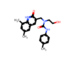 Cc1ccc(NC(=O)N(CCO)Cc2cc3cc(C)cc(C)c3[nH]c2=O)cc1